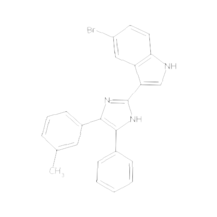 Cc1cccc(-c2nc(-c3c[nH]c4ccc(Br)cc34)[nH]c2-c2ccccc2)c1